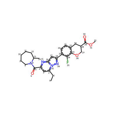 CCc1cc(C(=O)N2CCCCCC2C)nc2cc(-c3ccc4c(c3F)OCC(C(=O)OC)C4)nn12